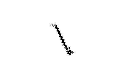 CCCCCCCCCCCCCCCCOC(=O)OC1C[CH]NC1